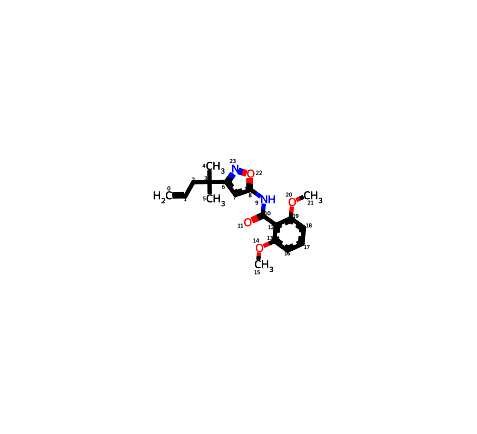 C=CCC(C)(C)c1cc(NC(=O)c2c(OC)cccc2OC)on1